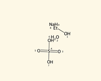 CCO.O.O=S(=O)(O)O.[NaH]